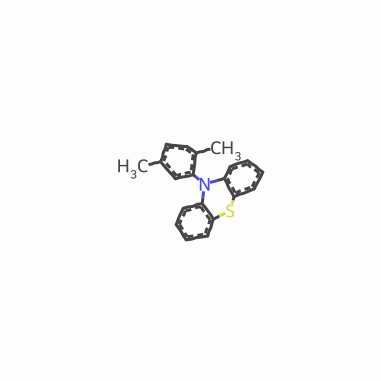 Cc1ccc(C)c(N2c3ccccc3Sc3ccccc32)c1